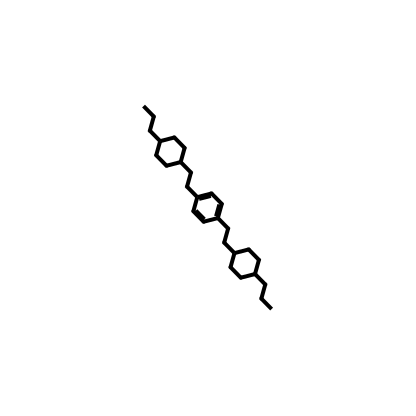 CCCC1CCC(CCc2ccc(CCC3CCC(CCC)CC3)cc2)CC1